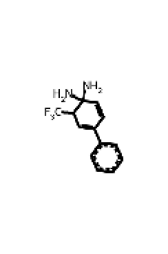 NC1(N)C=CC(c2ccccc2)=CC1C(F)(F)F